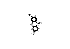 CCN1c2ccc(C#N)cc2Sc2cc(C#N)ccc21